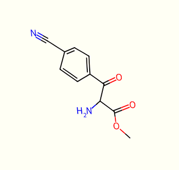 COC(=O)C(N)C(=O)c1ccc(C#N)cc1